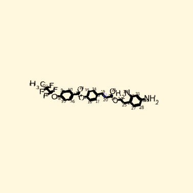 CC(F)(F)C(F)(F)Oc1ccc(C(=O)Oc2ccc(/C=C/C(=O)OCCc3ccc(N)cc3N)cc2)cc1